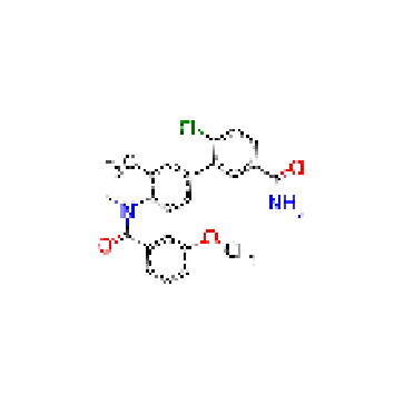 CN(C(=O)c1cccc(OC(F)(F)F)c1)c1ccc(-c2cc(C(N)=O)ccc2Cl)cc1C(F)(F)F